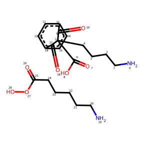 NCCCCC1(C(=O)O)C(=O)c2ccc(cc2)C1=O.NCCCCCC(=O)OO